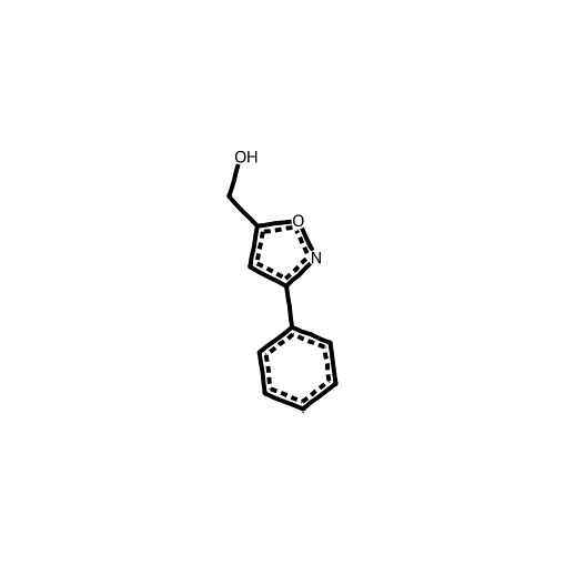 OCc1cc(-c2cc[c]cc2)no1